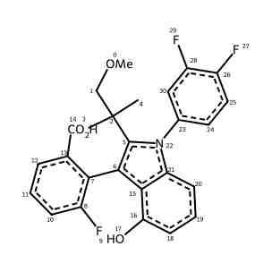 COCC(C)(C)c1c(-c2c(F)cccc2C(=O)O)c2c(O)cccc2n1-c1ccc(F)c(F)c1